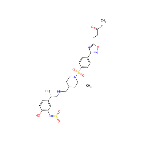 C.COC(=O)CCc1nc(-c2ccc(S(=O)(=O)N3CCC(CNC[C@@H](O)c4ccc(O)c(N=S(=O)=O)c4)CC3)cc2)no1